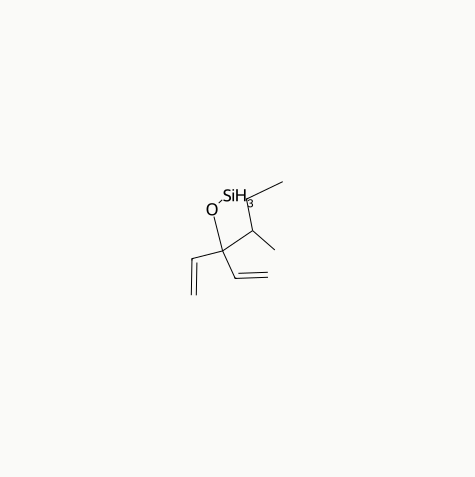 C=CC(C=C)(O[SiH3])C(C)CC